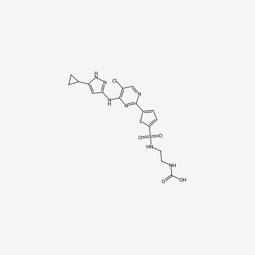 O=C(O)NCCNS(=O)(=O)c1ccc(-c2ncc(Cl)c(Nc3cc(C4CC4)[nH]n3)n2)s1